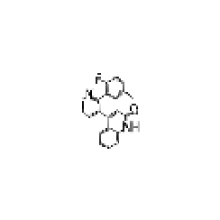 Cc1ccc(F)c(-c2ncccc2-c2cc(=O)[nH]c3ccccc23)c1